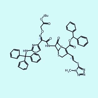 Cn1nnnc1S/C=C/C1=C(C(=O)OC(c2ccccc2)c2ccccc2)N2C(=O)C(NC(=O)/C(=N\OCC(=O)OC(C)(C)C)c3csc(NC(c4ccccc4)(c4ccccc4)c4ccccc4)n3)C2SC1